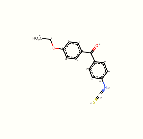 O=C(O)COc1ccc(C(=O)c2ccc(N=C=S)cc2)cc1